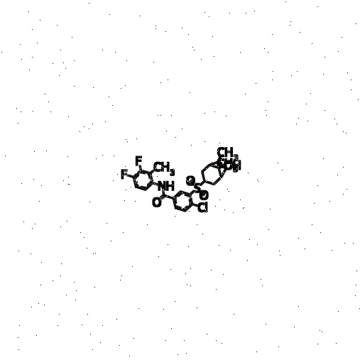 Cc1c(NC(=O)c2ccc(Cl)c(S(=O)(=O)C3CC4C[C@H](C)C(C3)[C@]4(C)O)c2)ccc(F)c1F